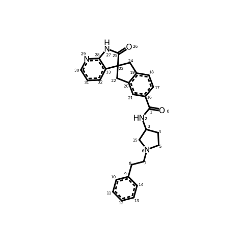 O=C(NC1CCN(CCc2ccccc2)C1)c1ccc2c(c1)CC1(C2)C(=O)Nc2ncccc21